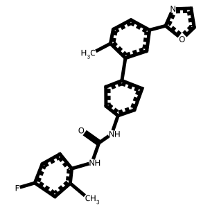 Cc1cc(F)ccc1NC(=O)Nc1ccc(-c2cc(-c3ncco3)ccc2C)cc1